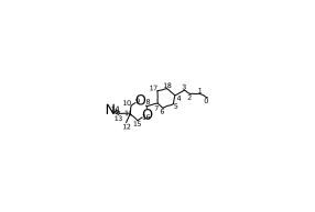 CCCCC1CCC(C2OCC(C)(C#N)CO2)CC1